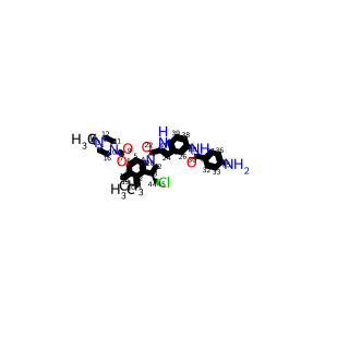 C/C=c1/c2c(cc(OC(=O)N3CCN(C)CC3)/c1=C/C)N(C(=O)c1cc3cc(NC(=O)c4ccc(N)cc4)ccc3[nH]1)C[C@H]2CCl